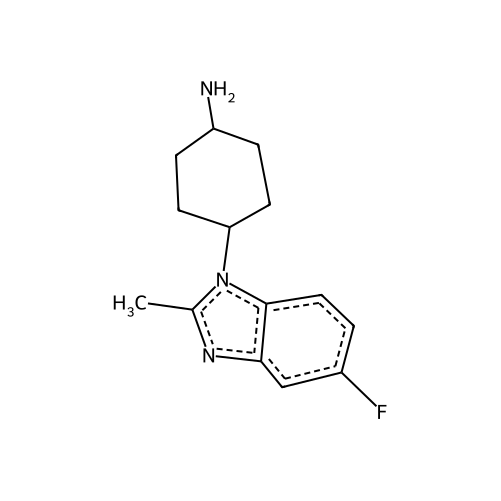 Cc1nc2cc(F)ccc2n1C1CCC(N)CC1